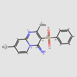 CSc1nc2cc(C)ccn2c(=N)c1S(=O)(=O)c1ccccc1